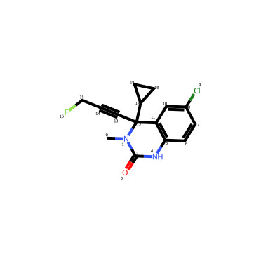 CN1C(=O)Nc2ccc(Cl)cc2C1(C#CCF)C1CC1